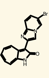 O=c1[nH]c2cccccc-2c1-c1cn2cc(Br)ccc2n1